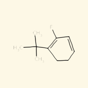 CC(C)(C)C1=C(F)C=CCC1